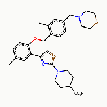 Cc1ccc(OCc2ccc(CN3CCSCC3)cc2C)c(-c2csc(N3CCC(C(=O)O)CC3)n2)c1